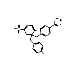 COc1ccc(CC2(Cc3ccc(-c4nnn[nH]4)cc3)CC(S(N)(=O)=O)=CC=C2Cl)cc1